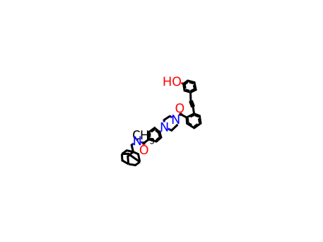 CN(CC12CC3CC(CC(C3)C1)C2)C(=O)c1ccc(N2CCN(C(=O)c3ccccc3C#Cc3cccc(O)c3)CC2)cc1